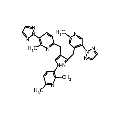 Cc1cc(Cc2nn(-c3ccc(C)nc3C)cc2Cc2ccc(-n3nccn3)c(C)n2)c(-n2nccn2)cn1